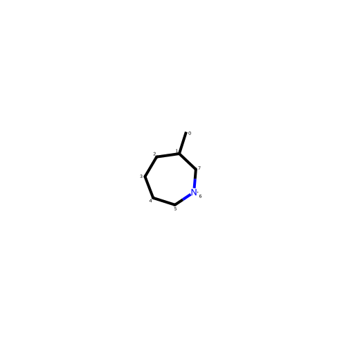 CC1CCCC[N]C1